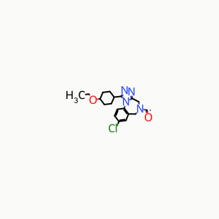 CCOC1CCC(c2nnc3n2-c2ccc(Cl)cc2CN([C]=O)C3)CC1